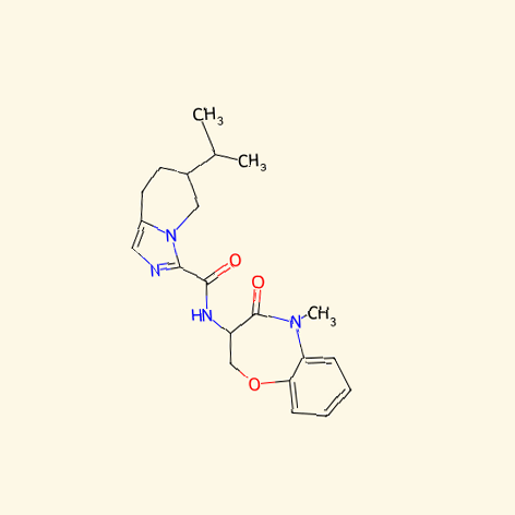 CC(C)C1CCc2cnc(C(=O)NC3COc4ccccc4N(C)C3=O)n2C1